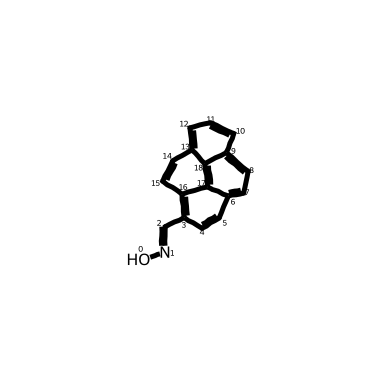 ON=Cc1ccc2ccc3cccc4ccc1c2c34